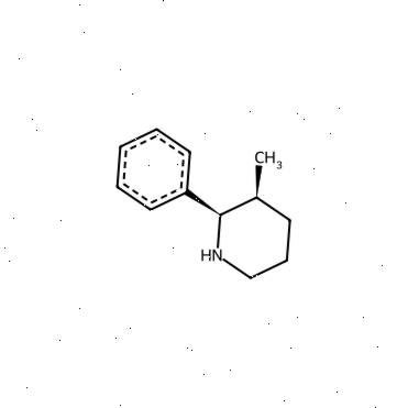 C[C@H]1CCCN[C@H]1c1ccccc1